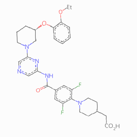 CCOc1ccccc1O[C@@H]1CCCN(c2cncc(NC(=O)c3cc(F)c(N4CCC(CC(=O)O)CC4)c(F)c3)n2)C1